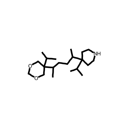 CC(C)C1(C(C)CCC(C)C2(C(C)C)COCOC2)CCNCC1